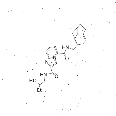 CCC(O)CNC(=O)c1cn2c(C(=O)NCC34CC=C5CCC(C3)C5C4)cccc2n1